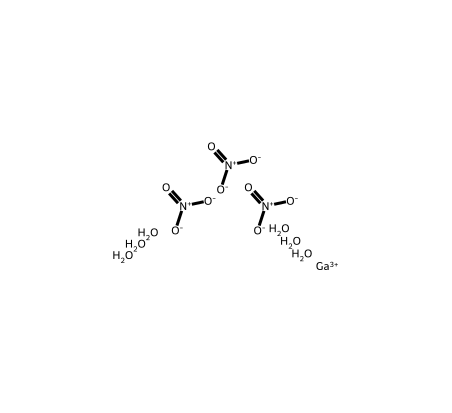 O.O.O.O.O.O.O=[N+]([O-])[O-].O=[N+]([O-])[O-].O=[N+]([O-])[O-].[Ga+3]